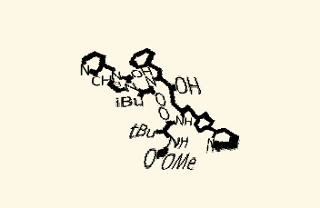 CCC(C)C(C(=O)NC(Cc1ccccc1)C(O)CC(Cc1ccc(-c2ccccn2)cc1)NC(=O)C(NC(=O)OC)C(C)(C)C)N1CCN(Cc2cccnc2C)C1=O